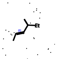 C/C=C/C(C)CC